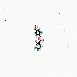 COCc1c(F)c(F)c(COC(=O)C2C(/C=C\C(F)(F)F)C2(C)C)c(F)c1F